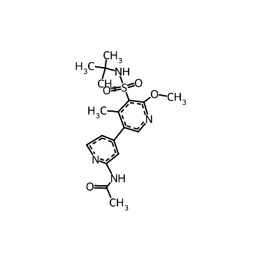 COc1ncc(-c2ccnc(NC(C)=O)c2)c(C)c1S(=O)(=O)NC(C)(C)C